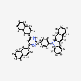 c1ccc2cc(-c3cc(-c4ccc5ccccc5c4)nc(-c4ccc(-n5c6ccccc6c6cc7ccccc7cc65)cc4)n3)ccc2c1